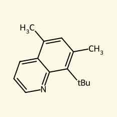 Cc1cc(C)c2cccnc2c1C(C)(C)C